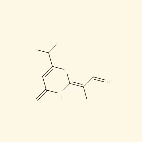 C=C1C=C(C(F)F)N/C(=C(/C)C=N)N1